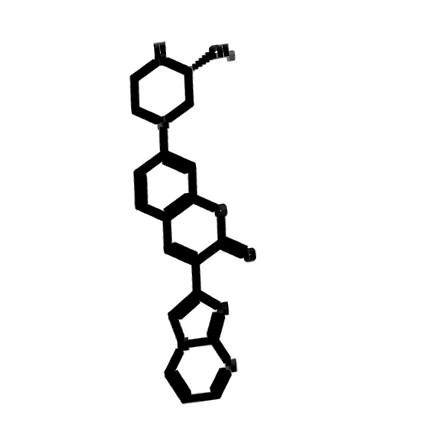 C[C@@H]1CN(c2ccc3cc(-c4cn5cccnc5n4)c(=O)oc3c2)CCN1